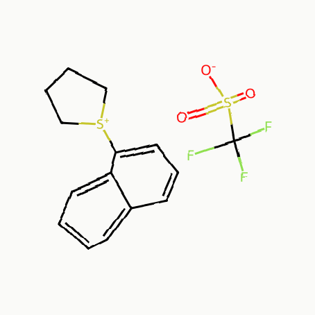 O=S(=O)([O-])C(F)(F)F.c1ccc2c([S+]3CCCC3)cccc2c1